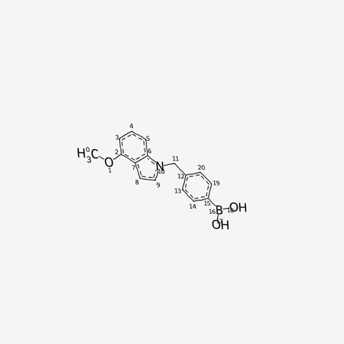 COc1cccc2c1ccn2Cc1ccc(B(O)O)cc1